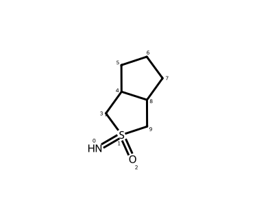 N=S1(=O)[CH]C2CCCC2C1